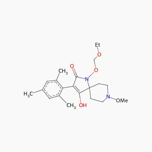 CCOCON1C(=O)C(c2c(C)cc(C)cc2C)=C(O)C12CCN(OC)CC2